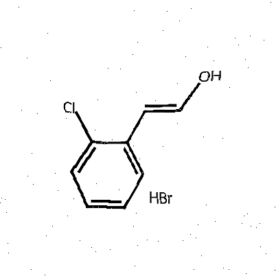 Br.OC=Cc1ccccc1Cl